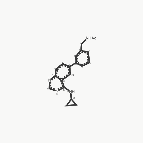 CC(=O)NCc1cccc(-c2ccc3ncnc(NC4CC4)c3c2)c1